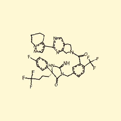 N=C1N[C@](CCCC(F)(F)F)(c2ccc(F)cc2)C(=O)N1Cc1ccc(C(F)(F)F)c(C(=O)N2Cc3cnc(-c4cnn5c4CCCC5)nc3C2)c1